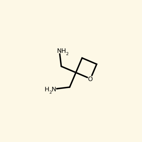 NCC1(CN)CCO1